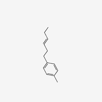 CCC=CCCc1ccc(C)cc1